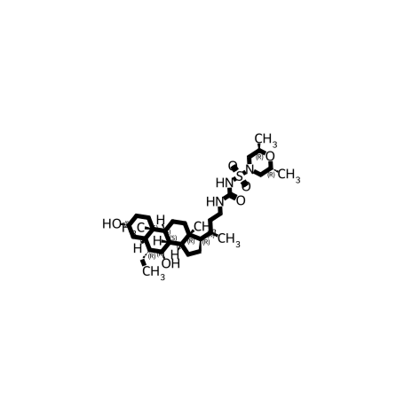 CC[C@H]1[C@@H](O)[C@@H]2[C@H](CC[C@]3(C)[C@@H]([C@H](C)CCNC(=O)NS(=O)(=O)N4C[C@@H](C)O[C@H](C)C4)CC[C@@H]23)[C@@]2(C)CC[C@@H](O)C[C@@H]12